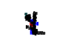 COc1ccc2[nH]c(C)c(CC(=O)N[C@@H](CCCCCC(C)=O)C(=O)NCc3ccc(F)cc3)c2c1